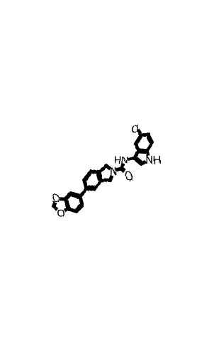 O=C(Nc1c[nH]c2ccc(Cl)cc12)N1Cc2ccc(-c3ccc4c(c3)OCO4)cc2C1